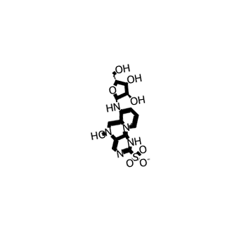 O=S(=O)([O-])C1=NC=C2C(=[n+]3cccc(N[C@@H]4O[C@H](CO)[C@@H](O)[C@H]4O)c3=CN2O)N1